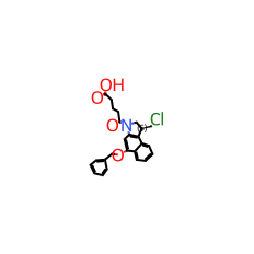 O=C(O)CCCC(=O)N1C[C@@H](CCl)c2c1cc(OCc1ccccc1)c1ccccc21